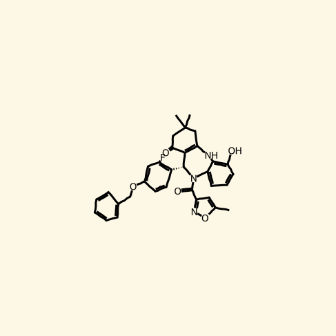 Cc1cc(C(=O)N2c3cccc(O)c3NC3=C(C(=O)CC(C)(C)C3)[C@H]2c2ccc(OCc3ccccc3)cc2F)no1